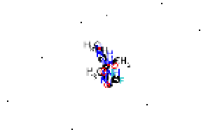 C=CC(=O)Nc1cc(Nc2cc(N3OCC[C@@H]3c3cc(F)cc(F)c3)ncn2)c(OC)cc1N1CCC(N2C[C@@H]3C[C@H]2CN3C)CC1